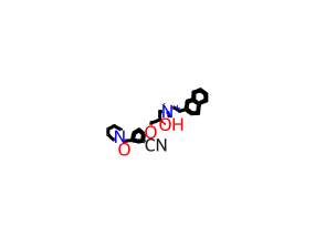 C[N+](C)(CCc1ccc2ccccc2c1)C[C@@H](O)COc1ccc(C(=O)N2CCCCC2)cc1C#N